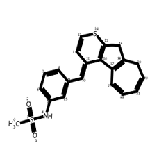 CS(=O)(=O)Nc1cccc(/C=C2\C=CSC3=C2C2=C(CC=CC=C2)C3)c1